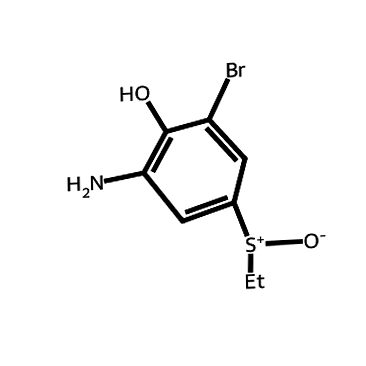 CC[S+]([O-])c1cc(N)c(O)c(Br)c1